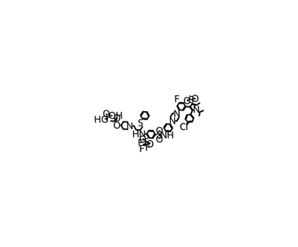 Cc1c(S(C)(=O)=O)c(-c2cc(F)cc(N3CCN(c4ccc(NS(=O)(=O)c5ccc(NC(CCN6CCC(OC(=O)CP(=O)(O)O)CC6)CSc6ccccc6)c(S(=O)(=O)C(F)(F)F)c5)cc4)CC3)c2)c(-c2ccc(Cl)cc2)n1C(C)C